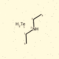 CCNCC.[TeH2]